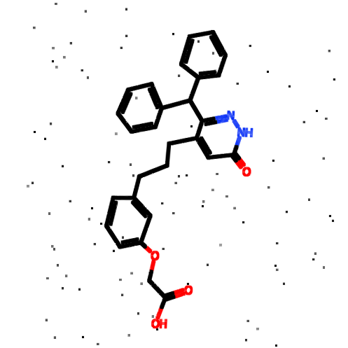 O=C(O)COc1cccc(CCCc2cc(=O)[nH]nc2C(c2ccccc2)c2ccccc2)c1